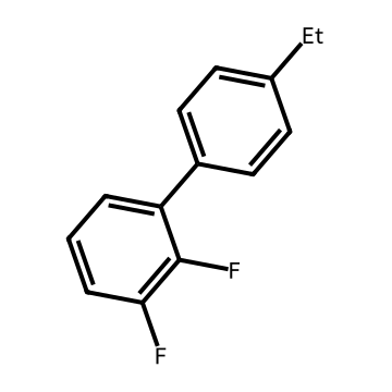 CCc1ccc(-c2cccc(F)c2F)cc1